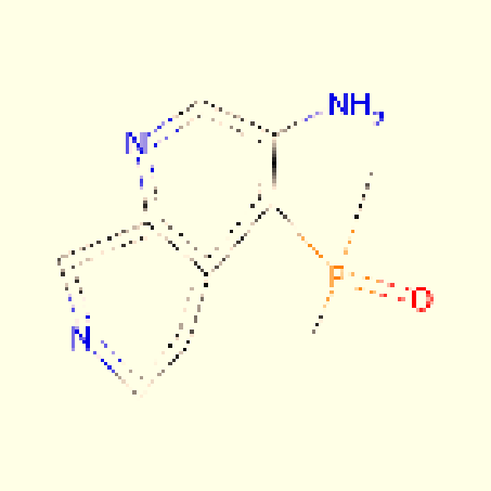 CP(C)(=O)c1c(N)cnc2cnccc12